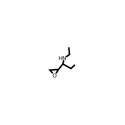 CCNC(CC)C1CO1